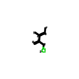 C=C(CCl)/C(C)=C/C